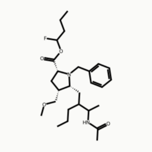 CCCC(F)OC(=O)[C@H]1C[C@@H](COC)[C@@H](CC(CCC)C(C)NC(C)=O)N1Cc1ccccc1